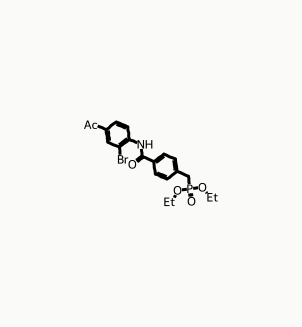 CCOP(=O)(Cc1ccc(C(=O)Nc2ccc(C(C)=O)cc2Br)cc1)OCC